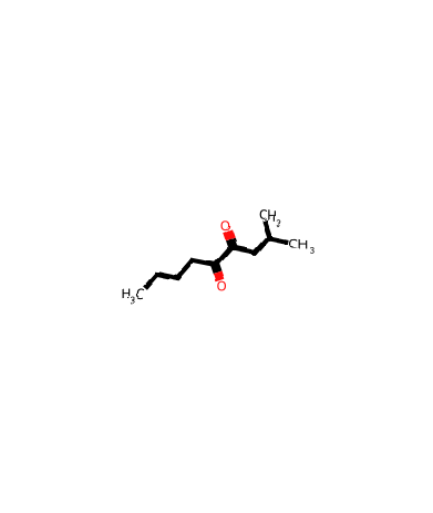 CCCCC(=O)C(=O)CC(C)C